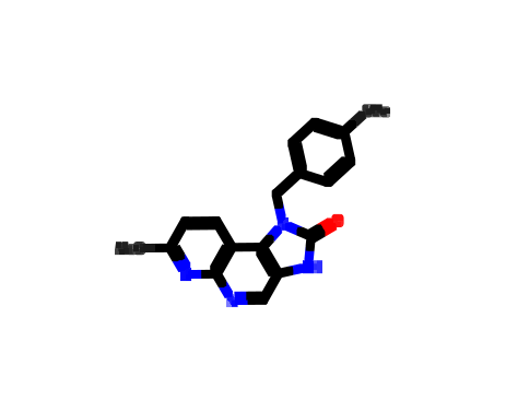 COc1ccc2c(ncc3[nH]c(=O)n(Cc4ccc(SC)cc4)c32)n1